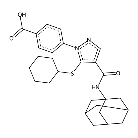 O=C(O)c1ccc(-n2ncc(C(=O)NC34CC5CC(CC(C5)C3)C4)c2SC2CCCCC2)cc1